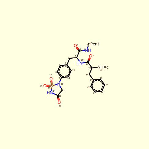 CCCCCNC(=O)[C@H](Cc1ccc(N2CC(=O)NS2(=O)=O)cc1)NC(=O)C(Cc1ccccc1)NC(C)=O